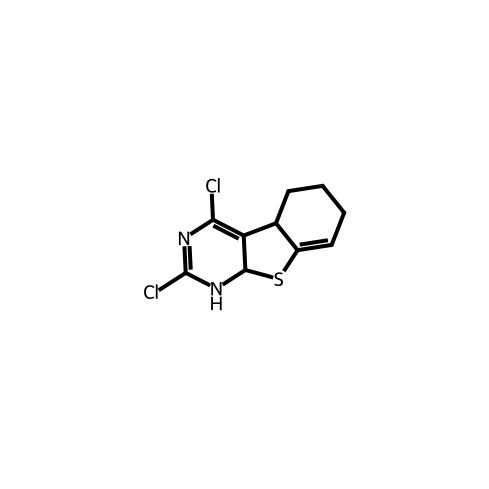 ClC1=NC(Cl)=C2C(N1)SC1=CCCCC12